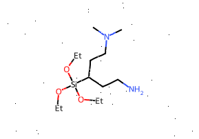 CCO[Si](OCC)(OCC)C(CCN)CCN(C)C